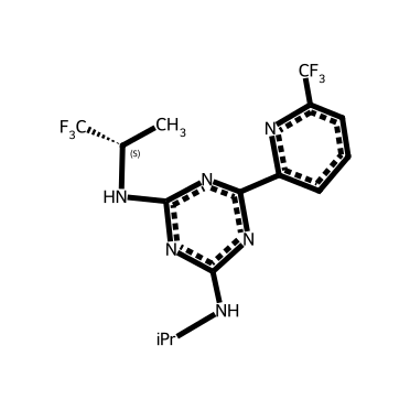 CC(C)Nc1nc(N[C@@H](C)C(F)(F)F)nc(-c2cccc(C(F)(F)F)n2)n1